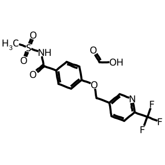 CS(=O)(=O)NC(=O)c1ccc(OCc2ccc(C(F)(F)F)nc2)cc1.O=CO